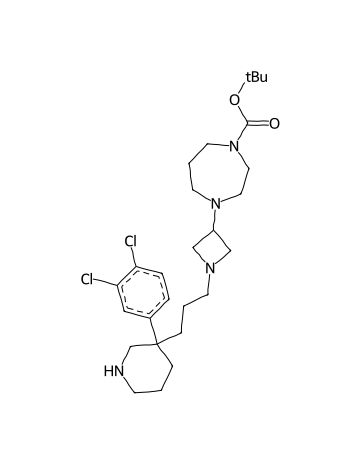 CC(C)(C)OC(=O)N1CCCN(C2CN(CCCC3(c4ccc(Cl)c(Cl)c4)CCCNC3)C2)CC1